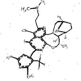 Cc1nc(N)cc(-c2nc3c4c(nc(CCN(C)C)c(Cl)c4c2F)N2C[C@H]4CC[C@H](N4)[C@H]2[C@H](C)O3)c1C(F)(F)F